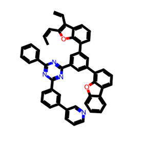 C=Cc1c(/C=C\C)oc2c(-c3cc(-c4nc(-c5ccccc5)nc(-c5cccc(-c6cccnc6)c5)n4)cc(-c4cccc5c4oc4ccccc45)c3)cccc12